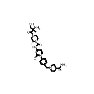 C[C@H](N)C1CCN(Cc2ccc(-n3ccc(NC(=O)N4CCN(C(=O)C(C)(N)CO)C[C@H]4C)nc3=O)cc2)CC1